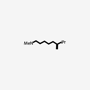 C=C(CCCCCNC)C(C)C